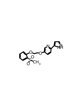 CS(=O)(=O)c1ccccc1OCCOc1ccc(-c2ccn[nH]2)nc1